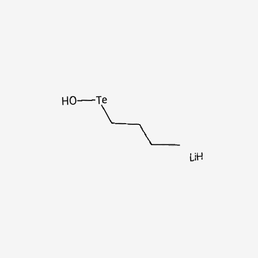 CCCC[Te]O.[LiH]